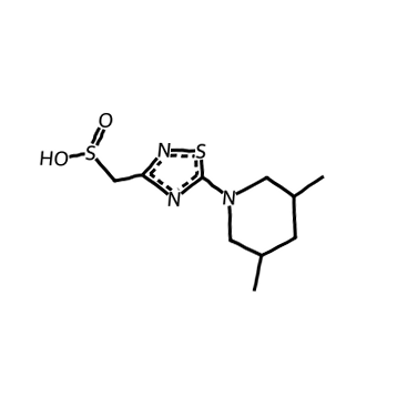 CC1CC(C)CN(c2nc(CS(=O)O)ns2)C1